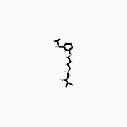 CC(C)Nc1cccc(OCCCCOCC(=O)C(C)C)c1